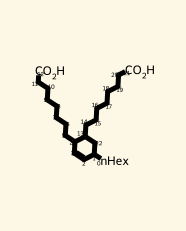 CCCCCCC1C=CC(CCCCCCCC(=O)O)C(CCCCCCCC(=O)O)C1